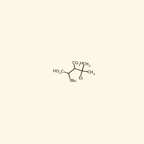 CCC(C)(C)C(C(=O)O)C(C(=O)O)C(C)(C)C